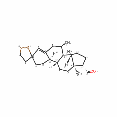 C[C@@H]1CC2=CC3(CCSS3)CC[C@@H]2[C@H]2CC[C@]3(C)[C@@H](C=O)CC[C@H]3[C@@H]21